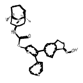 CN1[C@@H]2CCC[C@H]1CC(NC(=O)Oc1cc(-c3ccc4c(c3)CCC4=NO)c(-c3ccncc3)o1)C2